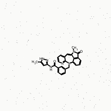 Cc1cc(NC(=O)c2cccc(CN3c4cccc5c4C(=Cc4cccnc43)N(C)C5=O)c2)n[nH]1